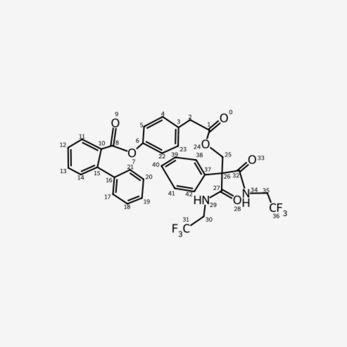 O=C(Cc1ccc(OC(=O)c2ccccc2-c2ccccc2)cc1)OCC(C(=O)NCC(F)(F)F)(C(=O)NCC(F)(F)F)c1ccccc1